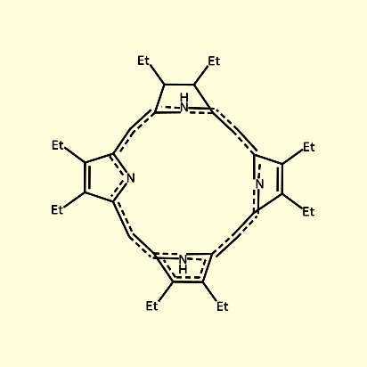 CCC1=C(CC)c2cc3[nH]c(cc4nc(cc5[nH]c(cc1n2)C(CC)C5CC)C(CC)=C4CC)c(CC)c3CC